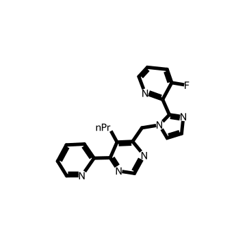 CCCc1c(Cn2ccnc2-c2ncccc2F)ncnc1-c1ccccn1